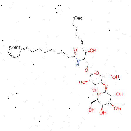 CCCCC/C=C\C/C=C\CCCCCCCC(=O)N[C@@H](CO[C@@H]1O[C@H](CO)[C@@H](O[C@@H]2O[C@H](CO)[C@H](O)[C@H](O)[C@H]2O)[C@H](O)[C@H]1O)[C@H](O)/C=C/CCCCCCCCCCCCC